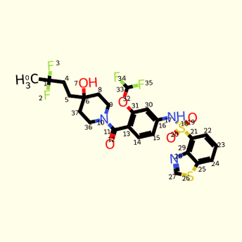 CC(F)(F)CCC1(O)CCN(C(=O)c2ccc(NS(=O)(=O)c3cccc4scnc34)cc2OC(F)F)CC1